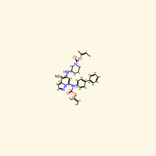 C/C=C(/C)OC(=O)N1CCCC(Nc2cc(N(C(=O)O/C(C)=C/C)c3ccc(-c4ccccc4)cc3)n3nccc3c2C#N)C1